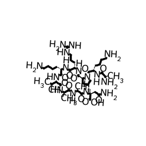 CC(C)[C@H](NC(=O)[C@H](CCCCN)NC(=O)[C@H](CCCNC(=N)N)NC(=O)[C@@H]1CCCN1C(=O)[C@H](CCCCN)NC(=O)[C@H](C)N)C(=O)N[C@@H](C)C(=O)N[C@@H](C)C(=O)N[C@@H](CC(N)=O)C(=O)O